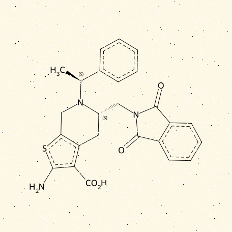 C[C@@H](c1ccccc1)N1Cc2sc(N)c(C(=O)O)c2C[C@H]1CN1C(=O)c2ccccc2C1=O